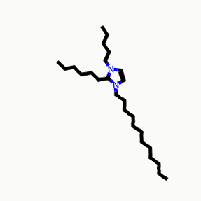 CCCCCCCCCCCCN1C=CN(CCCCC)C1CCCCCC